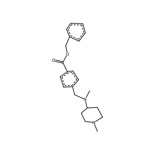 CN1CCC(N(C)Cc2ccc(C(=O)OCc3ccccc3)cc2)CC1